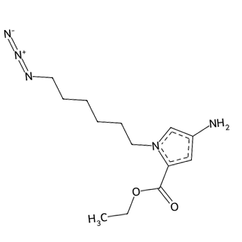 CCOC(=O)c1cc(N)cn1CCCCCCN=[N+]=[N-]